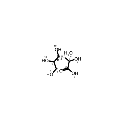 CC(O)C(=O)O.O.OCC(O)CO